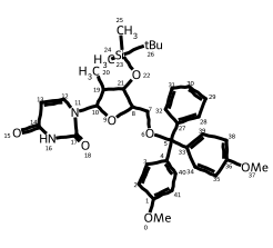 COc1ccc(C(OCC2OC(n3ccc(=O)[nH]c3=O)C(C)C2O[Si](C)(C)C(C)(C)C)(c2ccccc2)c2ccc(OC)cc2)cc1